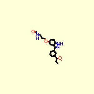 CCC(OC)c1cccc(-c2n[nH]c3ccc(OCCCNC=O)cc23)c1